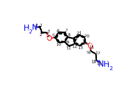 NCCCOc1ccc2c(c1)Cc1cc(OCCCN)ccc1-2